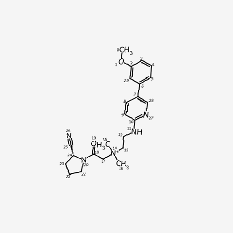 COc1cccc(-c2ccc(NCC[N+](C)(C)CC(=O)N3CCC[C@H]3C#N)nc2)c1